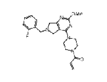 C=CC(=O)N1CCN(c2nc(OC)nc3c2CN(Cc2ccccc2F)C3)CC1